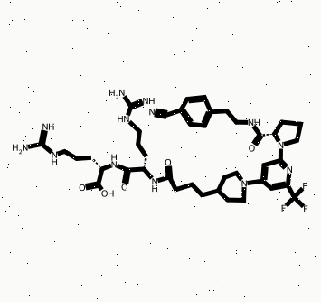 N#Cc1ccc(CCNC(=O)[C@@H]2CCCN2c2cc(N3CCC(CCCC(=O)N[C@@H](CCCNC(=N)N)C(=O)N[C@@H](CCCNC(=N)N)C(=O)O)CC3)cc(C(F)(F)F)n2)cc1